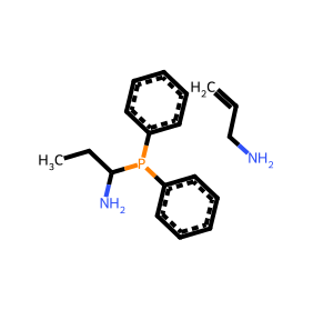 C=CCN.CCC(N)P(c1ccccc1)c1ccccc1